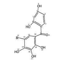 O=C(c1ccc(O)cc1O)c1cc(Br)c(O)c(O)c1O